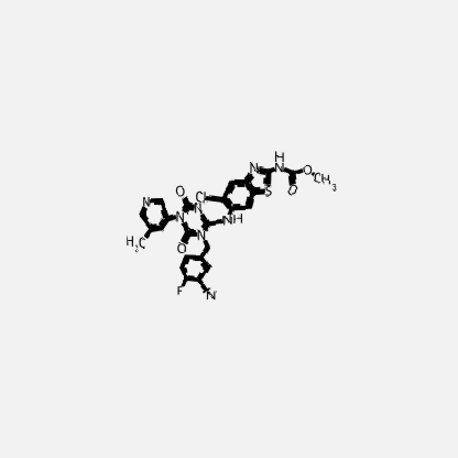 COC(=O)Nc1nc2cc(Cl)c(Nc3nc(=O)n(-c4cncc(C)c4)c(=O)n3Cc3ccc(F)c(C#N)c3)cc2s1